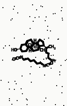 CC(C)CCCC(C)[C@H]1CC[C@H]2[C@@H]3CC=C4C[C@@H](O)CC[C@]4(C)[C@H]3CC[C@]12C.O=C=NCCCCCCN=C=O